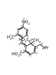 Cc1cc([N+](=O)[O-])ccc1N=C1C(C(=O)O)=CC=C(CC(C)C)C1(C)C(=O)O